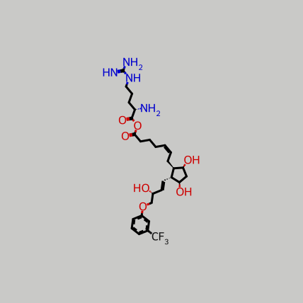 N=C(N)NCCC[C@H](N)C(=O)OC(=O)CCC/C=C\C[C@@H]1[C@@H](/C=C/[C@@H](O)COc2cccc(C(F)(F)F)c2)[C@H](O)C[C@@H]1O